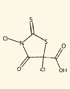 O=C(O)C1(Cl)SC(=S)N(Cl)C1=O